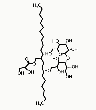 CCCCCCCCCCCCC(CCCCCCCCCC)COC(=O)C(O)CO.OC[C@@H](O)[C@@H](O[C@H]1O[C@H](CO)[C@@H](O)[C@H](O)[C@H]1O)[C@H](O)[C@@H](O)CO